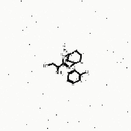 NC(CO)C1=N[C@]2(c3ccccc3Cl)CCC[C@H](O1)C2=O